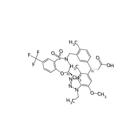 CCn1nnc2c(C)c([C@@H](CC(=O)O)c3ccc(C)c(CN4C[C@@H](C)Oc5ccc(C(F)(F)F)cc5S4(=O)=O)c3)cc(OC)c21